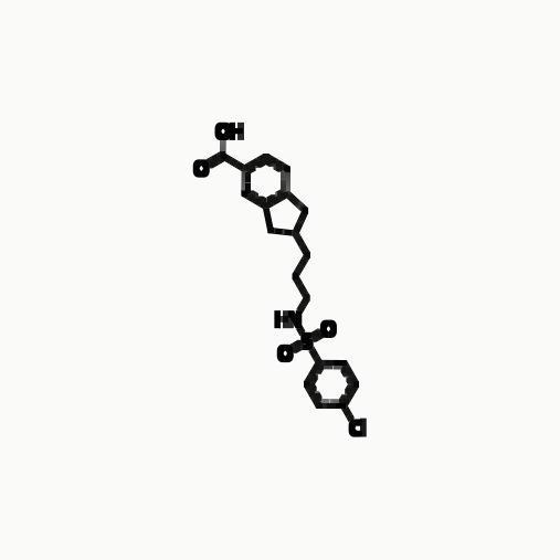 O=C(O)c1ccc2c(c1)CC(CCCNS(=O)(=O)c1ccc(Cl)cc1)C2